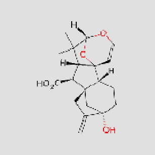 C=C1C[C@]23C[C@@]1(O)CC[C@H]2[C@@]12C=CO[C@H](O1)C(C)(C)[C@H]2[C@@H]3C(=O)O